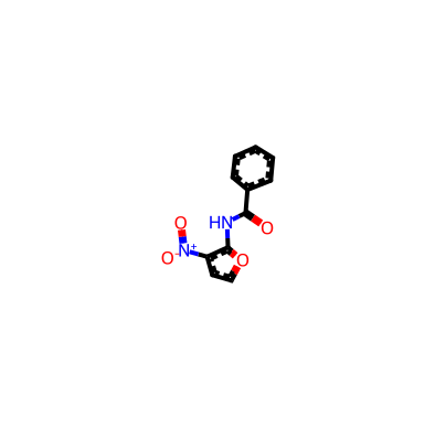 O=C(Nc1occc1[N+](=O)[O-])c1ccccc1